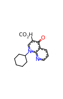 O=C(O)c1cn(C2CCCCC2)c2ncccc2c1=O